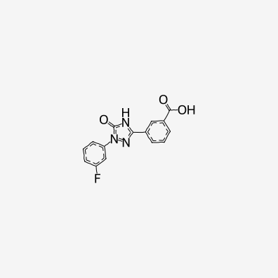 O=C(O)c1cccc(-c2nn(-c3cccc(F)c3)c(=O)[nH]2)c1